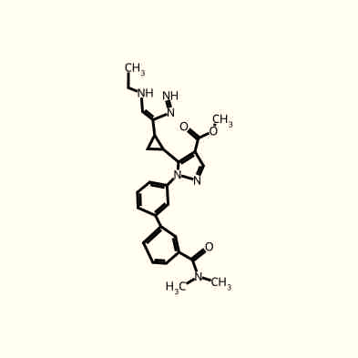 CCN/C=C(\N=N)C1CC1c1c(C(=O)OC)cnn1-c1cccc(-c2cccc(C(=O)N(C)C)c2)c1